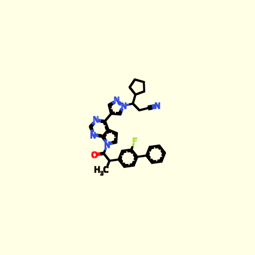 CC(C(=O)n1ccc2c(-c3cnn(C(CC#N)C4CCCC4)c3)ncnc21)c1ccc(-c2ccccc2)c(F)c1